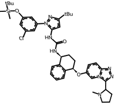 CN1CCCC1c1nnc2ccc(O[C@@H]3CC[C@H](NC(=O)Nc4cc(C(C)(C)C)nn4-c4cc(Cl)cc(O[Si](C)(C)C(C)(C)C)c4)c4ccccc43)cn12